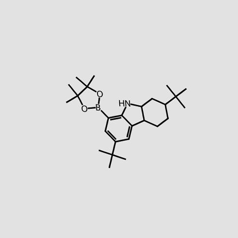 CC(C)(C)c1cc(B2OC(C)(C)C(C)(C)O2)c2c(c1)C1CCC(C(C)(C)C)CC1N2